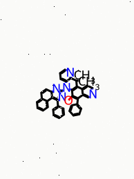 CC1(C)c2ncccc2N(c2nc(-c3ccccc3)c3c(ccc4ccccc43)n2)c2c1c1ccncc1c1c2oc2ccccc21